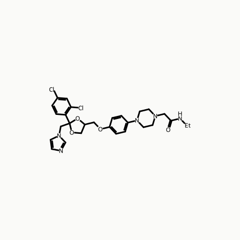 CCNC(=O)CN1CCN(c2ccc(OCC3COC(Cn4ccnc4)(c4ccc(Cl)cc4Cl)O3)cc2)CC1